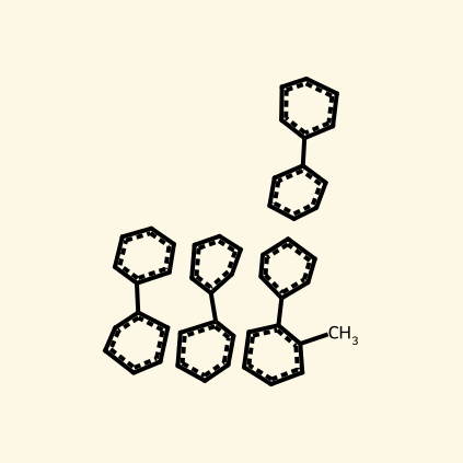 Cc1ccccc1-c1ccccc1.c1ccc(-c2ccccc2)cc1.c1ccc(-c2ccccc2)cc1.c1ccc(-c2ccccc2)cc1